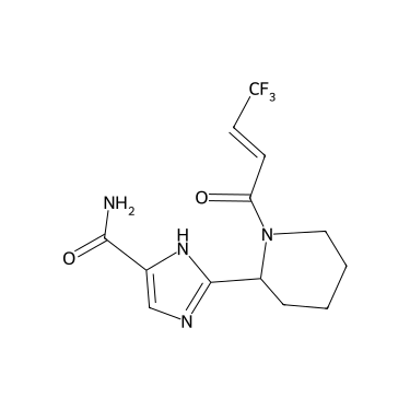 NC(=O)c1cnc(C2CCCCN2C(=O)C=CC(F)(F)F)[nH]1